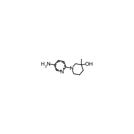 CC1(O)CCCN(c2ccc(N)cn2)C1